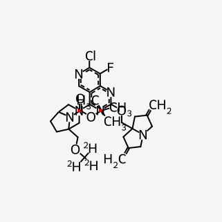 [2H]C([2H])([2H])OCC12CCC(CN(c3nc(OCC45CC(=C)CN4CC(=C)C5)nc4c(F)c(Cl)ncc34)C1)N2C(=O)OC(C)(C)C